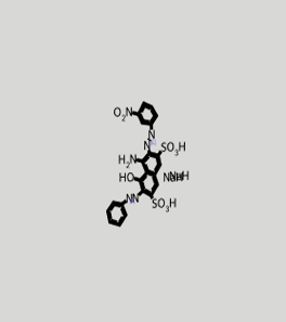 Nc1c(/N=N/c2cccc([N+](=O)[O-])c2)c(S(=O)(=O)O)cc2cc(S(=O)(=O)O)c(/N=N/c3ccccc3)c(O)c12.[NaH].[NaH]